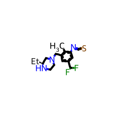 CC[C@H]1CN(Cc2cc(C(F)F)cc(N=C=S)c2C)CCN1